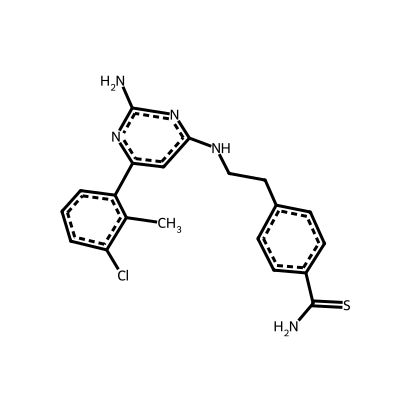 Cc1c(Cl)cccc1-c1cc(NCCc2ccc(C(N)=S)cc2)nc(N)n1